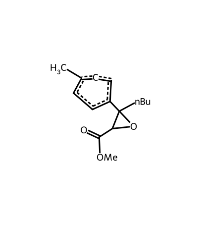 CCCCC1(c2ccc(C)cc2)OC1C(=O)OC